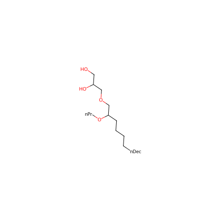 CCCCCCCCCCCCCCC(COCC(O)CO)OCCC